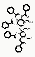 O=C(O[C@@H]1[C@@H](OC(=O)c2ccccc2)[C@@H](O[C@]2(CO)O[C@H](CO)[C@@H](OC(=O)c3ccccc3)[C@@H]2OC(=O)c2ccccc2)O[C@H](CO)[C@H]1OC(=O)c1ccccc1)c1ccccc1